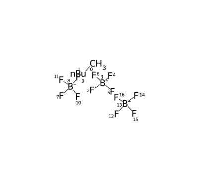 CCCCC.F[B-](F)(F)F.F[B-](F)(F)F.F[B-](F)(F)F